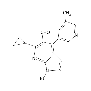 CCn1ncc2c(-c3cncc(C)c3)c(C=O)c(C3CC3)nc21